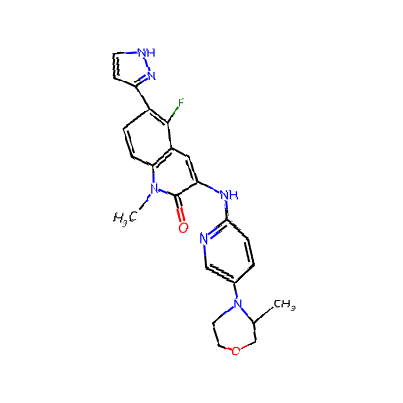 CC1COCCN1c1ccc(Nc2cc3c(F)c(-c4cc[nH]n4)ccc3n(C)c2=O)nc1